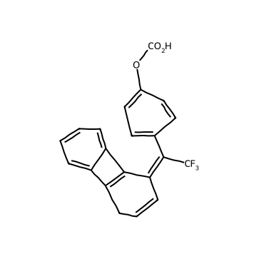 O=C(O)Oc1ccc(C(=C2C=CCC3=C2c2ccccc23)C(F)(F)F)cc1